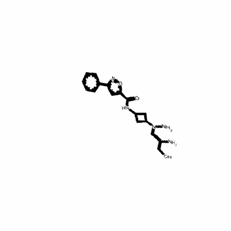 N/C(=C\N(N)C1CC(NC(=O)c2cc(-c3ccccc3)no2)C1)CO